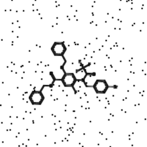 O=C(OCc1ccccc1)c1cc(F)c(N(Cc2ccc(Br)cc2)C(=O)C(F)(F)F)cc1OCc1ccccc1